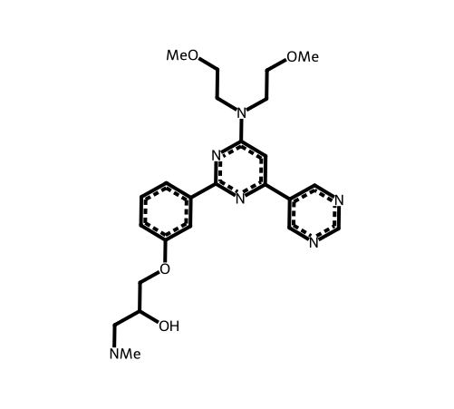 CNCC(O)COc1cccc(-c2nc(-c3cncnc3)cc(N(CCOC)CCOC)n2)c1